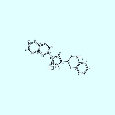 Cl.NCC(Cc1ccccc1)c1nnc(-c2ccc3cnccc3c2)s1